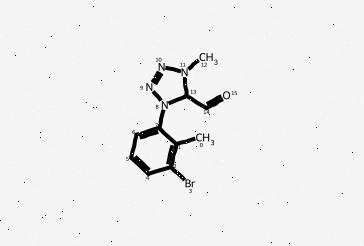 Cc1c(Br)cccc1N1N=NN(C)C1C=O